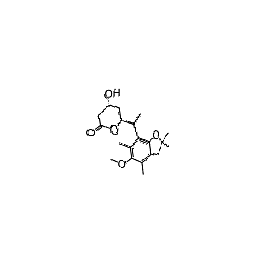 COc1c(C)c2c(c(C(C)[C@@H]3C[C@@H](O)CC(=O)O3)c1C)OC(C)(C)C2